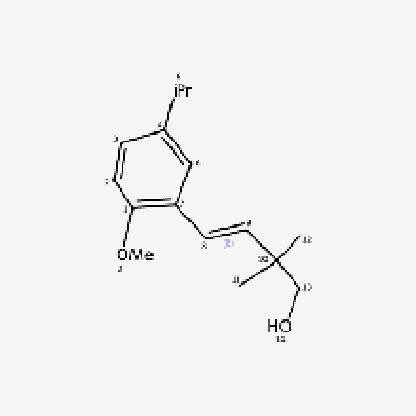 COc1ccc(C(C)C)cc1/C=C/C(C)(C)CO